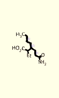 C/C=C/C=C(/C=C/C(N)=O)C(CC)C(=O)O